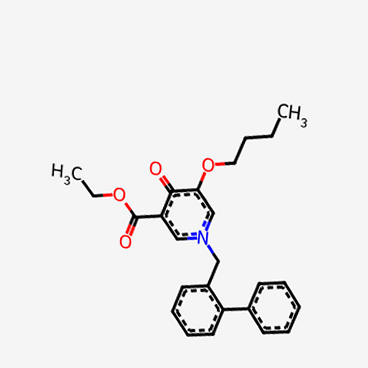 CCCCOc1cn(Cc2ccccc2-c2ccccc2)cc(C(=O)OCC)c1=O